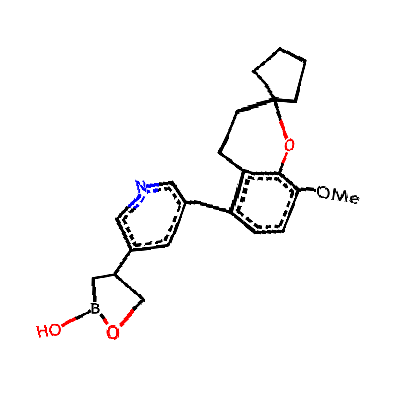 COc1ccc(-c2cncc(C3COB(O)C3)c2)c2c1OC1(CCCC1)CC2